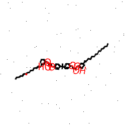 CCCC/C=C/CCCCCCCCCc1cccc(OC(O)COc2ccc(C(C)(C)c3ccc(OCC(O)Oc4cccc(CCCCCCCCC/C=C/CCCC)c4)cc3)cc2)c1